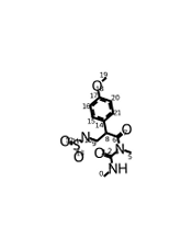 CNC(=O)N(C)C(=O)C(CN=S(=O)=O)c1ccc(OC)cc1